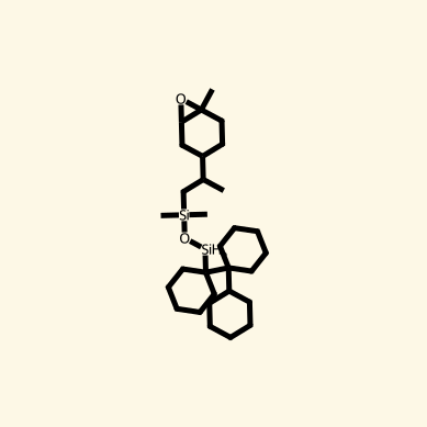 CC(C[Si](C)(C)O[SiH2]C1(C2(C3CCCCC3)CCCCC2)CCCCC1)C1CCC2(C)OC2C1